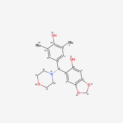 CC(C)(C)c1cc([C@H](c2cc3c(cc2O)OCO3)N2CCOCC2)cc(C(C)(C)C)c1O